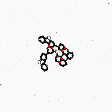 c1ccc(-c2cccc3cccc(-c4ccccc4N(c4cccc(-c5ccc6oc7ccccc7c6c5)c4)c4ccccc4-c4ccc5c(c4)oc4ccccc45)c23)cc1